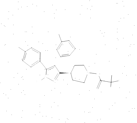 Cn1nc([C@@H]2CCN(OC(=O)C(F)(F)F)C[C@H]2c2ccc(F)cc2)cc1-c1ccc(F)cc1